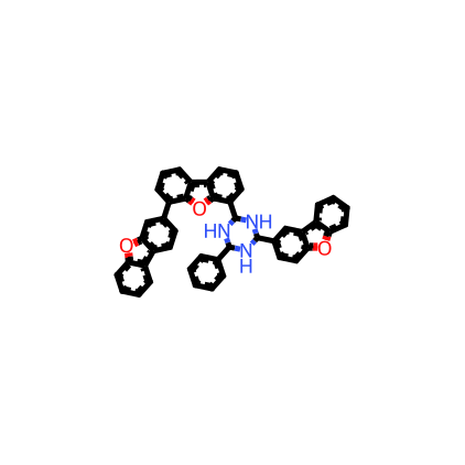 c1ccc(C2NC(c3ccc4oc5ccccc5c4c3)NC(c3cccc4c3oc3c(-c5ccc6c(c5)oc5ccccc56)cccc34)N2)cc1